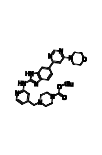 CC(C)(C)OC(=O)N1CCN(Cc2ccnc(Nc3nc4ccc(-c5cc(N6CCOCC6)ncn5)cc4[nH]3)c2)CC1